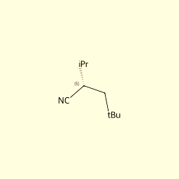 CC(C)[C@@H](C#N)CC(C)(C)C